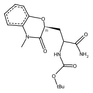 CN1C(=O)[C@H](CC(NC(=O)OC(C)(C)C)C(N)=O)Oc2ccccc21